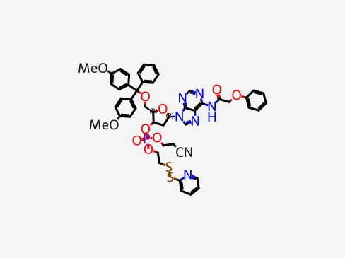 COc1ccc(C(OC[C@H]2O[C@@H](n3cnc4c(NC(=O)COc5ccccc5)ncnc43)CC2OP(=O)(OCCC#N)OCCSSc2ccccn2)(c2ccccc2)c2ccc(OC)cc2)cc1